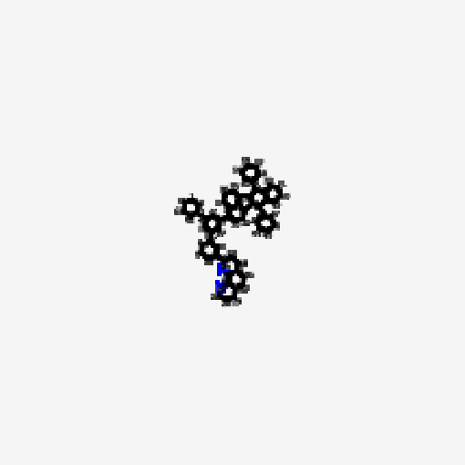 c1ccc(-c2cc(-c3cccc(-c4ccc5ccc6cccnc6c5n4)c3)cc(-c3ccc4c5c(cccc35)-c3c-4c(-c4ccccc4)c4ccccc4c3-c3ccccc3)c2)cc1